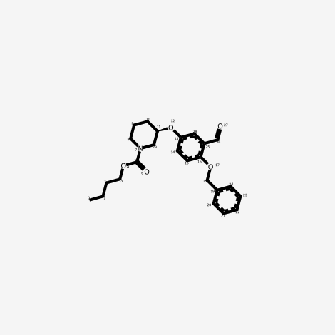 CCCCOC(=O)N1CCC[C@@H](Oc2ccc(OCc3ccccc3)c(C=O)c2)C1